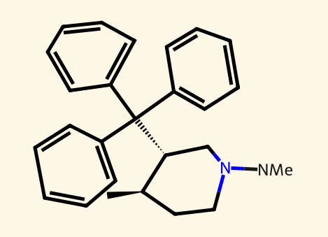 CNN1CC[C@@H](C)[C@H](C(c2ccccc2)(c2ccccc2)c2ccccc2)C1